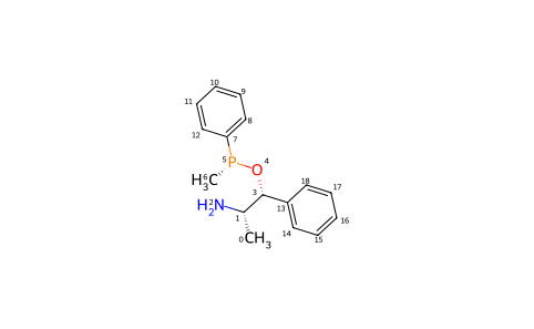 C[C@H](N)[C@H](O[P@](C)c1ccccc1)c1ccccc1